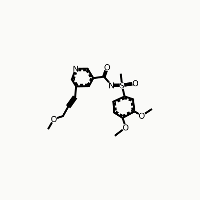 COCC#Cc1cncc(C(=O)N=S(C)(=O)c2ccc(OC)c(OC)c2)c1